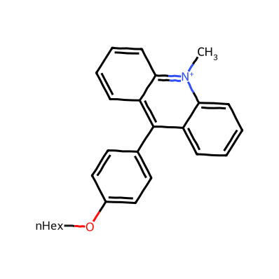 CCCCCCOc1ccc(-c2c3ccccc3[n+](C)c3ccccc23)cc1